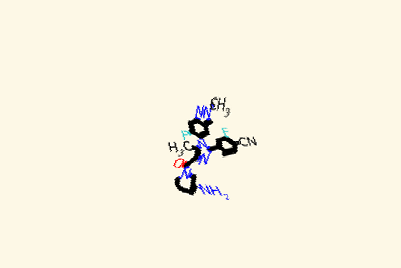 Cc1c(C(=O)N2CCC[C@@H](N)C2)nc(-c2ccc(C#N)c(F)c2)n1-c1cc2cn(C)nc2cc1F